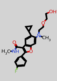 CNC(=O)c1c(-c2ccc(F)cc2)oc2cc(N(C)CCOCCO)c(C3CC3)cc12